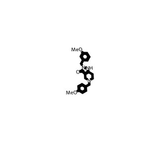 COc1ccc(CN2CCc3[nH]n(Cc4cccc(OC)c4)c(=O)c3C2)cc1